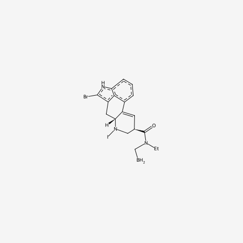 BCN(CC)C(=O)[C@@H]1C=C2c3cccc4[nH]c(Br)c(c34)C[C@H]2N(I)C1